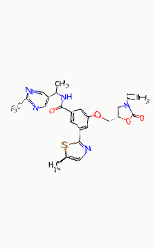 Cc1cnc(-c2cc(OC[C@@H]3CN(C)C(=O)O3)cc(C(=O)NC(C)c3cnc(C(F)(F)F)nc3)c2)s1